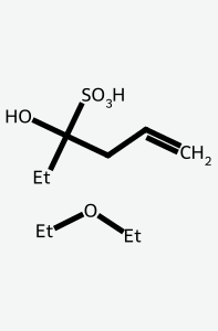 C=CCC(O)(CC)S(=O)(=O)O.CCOCC